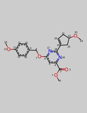 COC(=O)c1cc(OCc2ccc(OC)cc2)nc(C2=CCC(OC)C2)n1